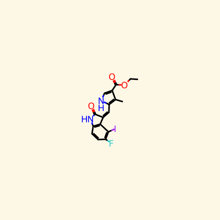 CCOC(=O)c1c[nH]c(C=C2C(=O)Nc3ccc(F)c(I)c32)c1C